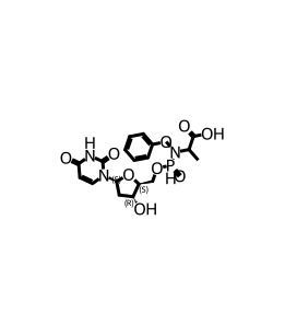 CC(C(=O)O)N(Oc1ccccc1)[PH](=O)OC[C@@H]1O[C@H](n2ccc(=O)[nH]c2=O)C[C@H]1O